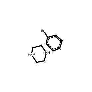 Brc1ccccc1.C1CNCCN1